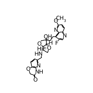 COc1ccc2ncc(F)c(CC[C@@]3(O)CO[C@@H]4[C@@H](NCc5ccc6c(n5)NC(=O)CO6)CO[C@@H]43)c2n1